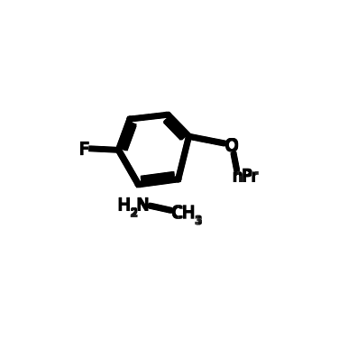 CCCOc1ccc(F)cc1.CN